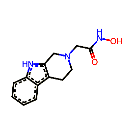 O=C(CN1CCc2c([nH]c3ccccc23)C1)NO